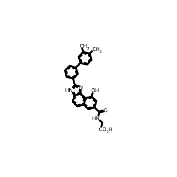 Cc1ccc(-c2cccc(-c3nc4c(ccc5cc(C(=O)NCC(=O)O)cc(O)c54)[nH]3)c2)cc1C